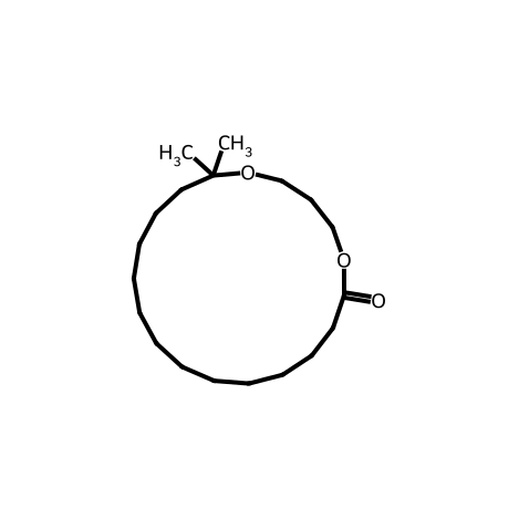 CC1(C)CCCCCCCCCCCCC(=O)OCCCO1